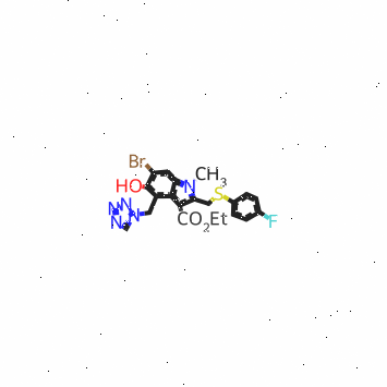 CCOC(=O)c1c(CSc2ccc(F)cc2)n(C)c2cc(Br)c(O)c(Cn3cnnn3)c12